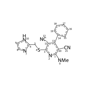 CNc1nc(SCc2ncc[nH]2)c(C#N)c(-c2ccccc2)c1C#N